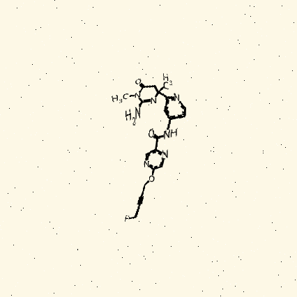 CN1C(=O)CC(C)(c2cc(NC(=O)c3cnc(OCC#CCF)cn3)ccn2)N=C1N